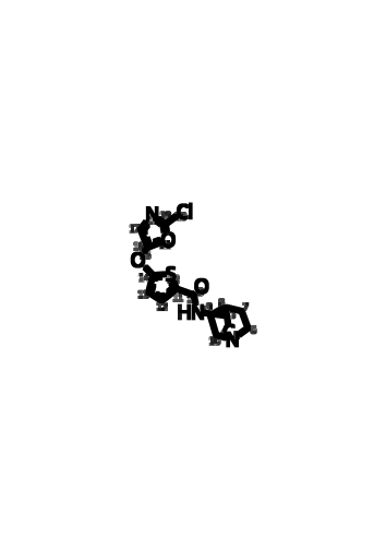 O=C(NC1CN2CCC1CC2)c1ccc(Oc2cnc(Cl)o2)s1